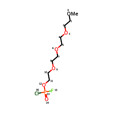 COCCOCCOCCOCCOP(=O)(F)Cl